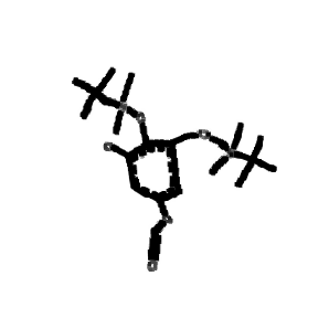 CC(C)(C)[Si](C)(C)Oc1cc(OC=O)cc(Cl)c1O[Si](C)(C)C(C)(C)C